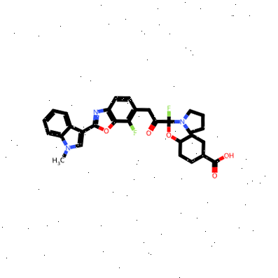 Cn1cc(-c2nc3ccc(CC(=O)C(F)(OC4CCC(C(=O)O)CC4)N4CCCC4)c(F)c3o2)c2ccccc21